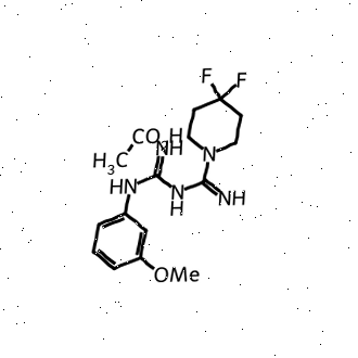 CC(=O)O.COc1cccc(NC(=N)NC(=N)N2CCC(F)(F)CC2)c1